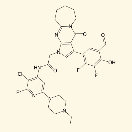 CCN1CCN(c2cc(NC(=O)Cn3cc(-c4cc(C=O)c(O)c(F)c4F)c4c(=O)n5c(nc43)CCCCC5)c(Cl)c(F)n2)CC1